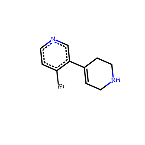 CC(C)c1ccncc1C1=CCNCC1